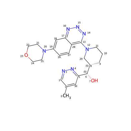 Cc1cnnc([C@@H](O)[C@H]2CCCN(c3nnnc4cc(N5CCOCC5)ccc34)C2)c1